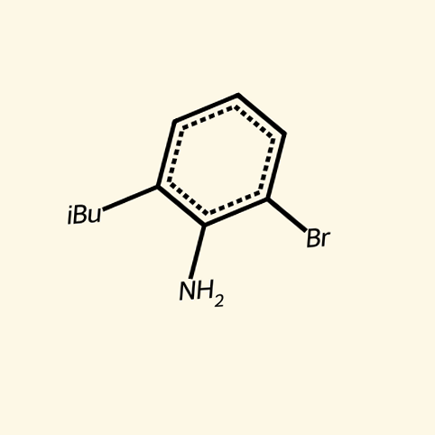 CCC(C)c1cccc(Br)c1N